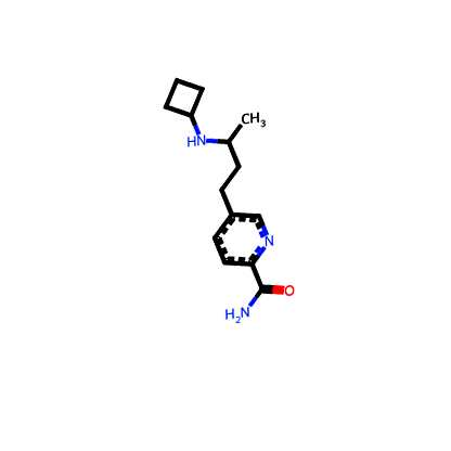 CC(CCc1ccc(C(N)=O)nc1)NC1CCC1